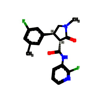 Cc1cc(F)cc([C@H]2CN(C)C(=O)[C@@H]2C(=O)Nc2cccnc2F)c1